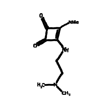 CNc1c(NCCN(C)C)c(=O)c1=O